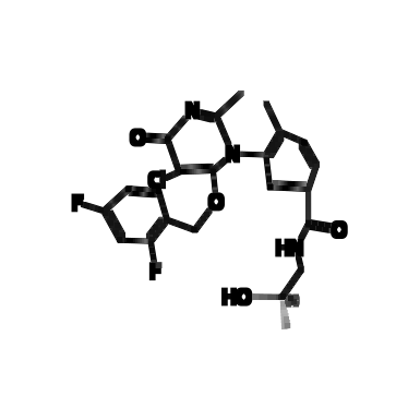 Cc1ccc(C(=O)NC[C@H](C)O)cc1-n1c(C)nc(=O)c(Cl)c1OCc1ccc(F)cc1F